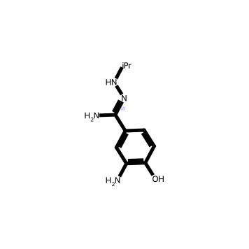 CC(C)N/N=C(\N)c1ccc(O)c(N)c1